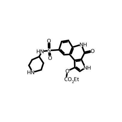 CCOC(=O)Oc1c[nH]c2c(=O)[nH]c3ccc(S(=O)(=O)NC4CCNCC4)cc3c12